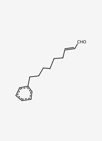 O=CC=CCC[CH]CCCc1ccccc1